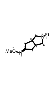 CCN1CC2CC(=NOC)CC2C1